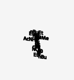 CCCCC(CC)COC(=O)/C(C#N)=C/c1sc(/N=N/c2cc(OC)c(N(CC(CC)CCCC)CC(CC)CCCC)cc2NC(C)=O)nc1Cl